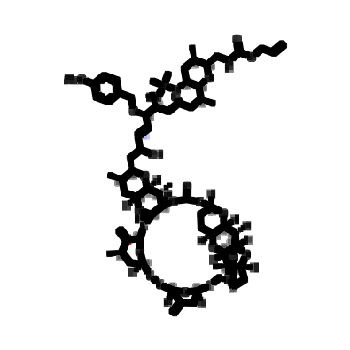 C=CCOC(=O)NC[C@H]1O[C@@H]([C@@H](C)CC(=O)C[C@H](C)[C@@H](/C=C/C(O)C[C@H]2O[C@H]3[C@H](C)[C@H]4OC(=O)C[C@H]5CC[C@@H]6O[C@@H]7[C@H]8O[C@@H]9C[C@](CC[C@H]%10CC(=C)[C@H](CC[C@H]%11C[C@@H](C)C(=C)[C@@H](C[C@@H]4O[C@H]3C[C@H]2C)O%11)O%10)(O[C@H]8[C@H]6O5)O[C@]79C)OCc2ccc(OC)cc2)[C@@H](O[Si](C)(C)C(C)(C)C)C[C@H]1C